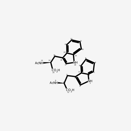 CC(=O)N[C@@H](Cc1c[nH]c2ccccc12)C(=O)O.CC(=O)N[C@@H](Cc1c[nH]c2ccccc12)C(=O)O